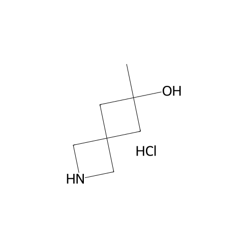 CC1(O)CC2(CNC2)C1.Cl